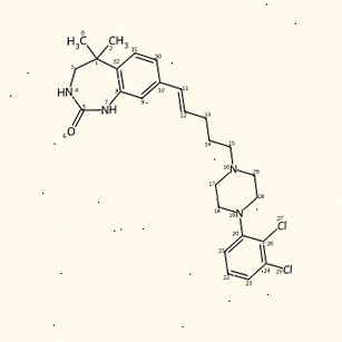 CC1(C)CNC(=O)Nc2cc(C=CCCCN3CCN(c4cccc(Cl)c4Cl)CC3)ccc21